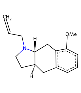 C=CCN1CC[C@@H]2Cc3cccc(OC)c3C[C@H]21